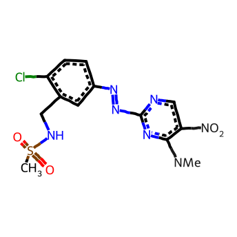 CNc1nc(N=Nc2ccc(Cl)c(CNS(C)(=O)=O)c2)ncc1[N+](=O)[O-]